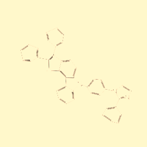 c1ccc(-c2oc3c(ccc4c3c3ccccc3n4-c3ccc(-n4ccnc4-c4ccccc4)cc3)c2-c2ccccc2)cc1